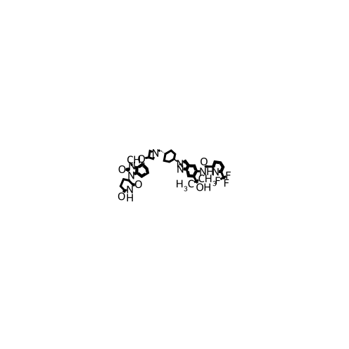 Cn1c(=O)n(C2CCC(=O)NC2=O)c2cccc(OC3CN(C[C@H]4CC[C@H](n5cc6cc(NC(=O)c7cccc(C(F)(F)F)n7)c(C(C)(C)O)cc6n5)CC4)C3)c21